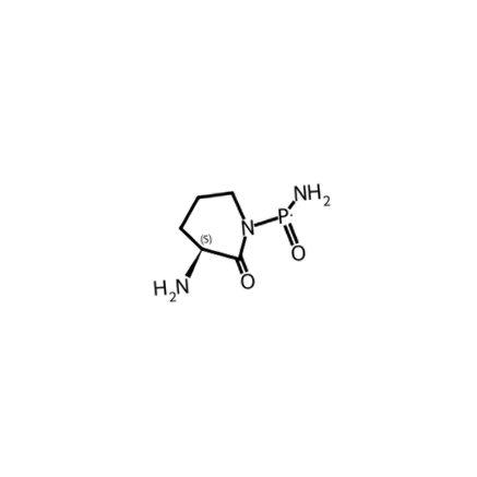 N[C@H]1CCCN([P](N)=O)C1=O